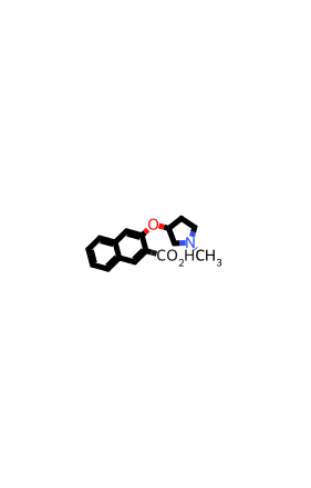 CN1CCC(Oc2cc3ccccc3cc2C(=O)O)C1